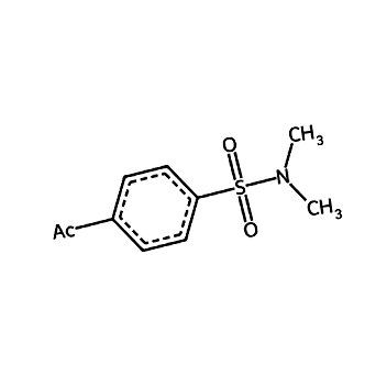 CC(=O)c1ccc(S(=O)(=O)N(C)C)cc1